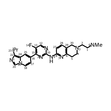 CNCCN1CCc2nc(Nc3ncc(F)c(-c4ccn5cnc(C(C)C)c5c4)n3)ccc2C1